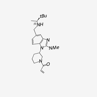 C=CC(=O)N1CCCC(n2c(NC)nc3cc(CN[C@@H](C)C(C)(C)C)ccc32)C1